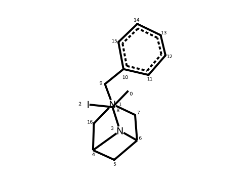 CC(I)N1C2CC1CN(Cc1ccccc1)C2